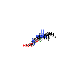 Cn1c(Nc2cc3n(n2)CCCC3(C)C)nc2ncc(Oc3cnn4cc(OCCO)ncc34)c(Cl)c21